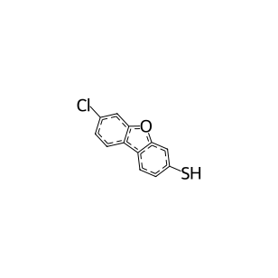 Sc1ccc2c(c1)oc1cc(Cl)ccc12